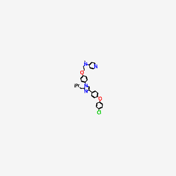 CC(C)Cc1nc(-c2ccc(Oc3ccc(Cl)cc3)cc2)cn1-c1ccc(OCCN(C)c2ccncc2)cc1